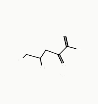 O=C([O-])C(=O)CC(O)CO.[Na+]